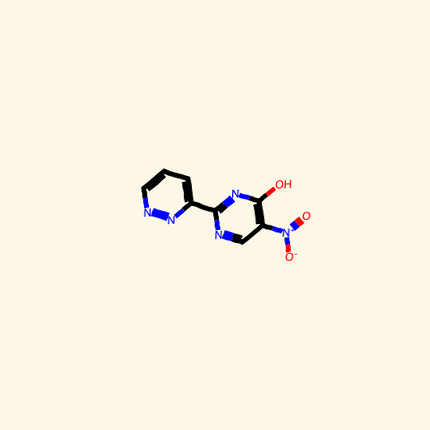 O=[N+]([O-])c1cnc(-c2cccnn2)nc1O